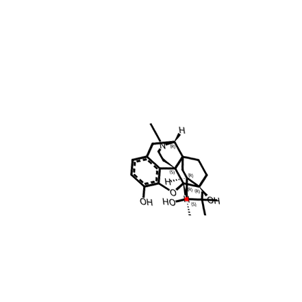 CN1CC[C@]23c4c5ccc(O)c4O[C@H]2[C@@]2(O)CCC3(C[C@@H]2[C@](C)(O)C(C)(C)C)[C@H]1C5